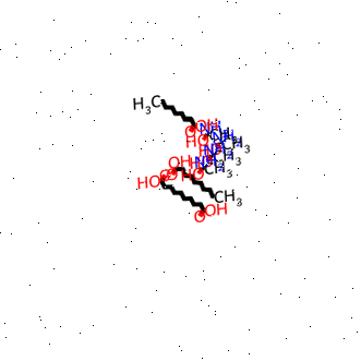 CC(N)O.CC(N)O.CC(N)O.CC(N)O.CCCCCCC=CC(=O)O.CCCCCCCCCC(=O)O.O=C(O)CCCCCCCCC(=O)O